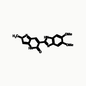 COc1cc2nc(-c3cc4nn(C)cc4[nH]c3=O)[nH]c2cc1OC